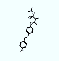 CC(C)OC(=O)C(C)C(C)Oc1ccc(OCc2ccc(Cl)cc2)cc1